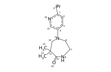 CC(C)c1ccc(N2CCNC(=O)C(C)(C)C2)cn1